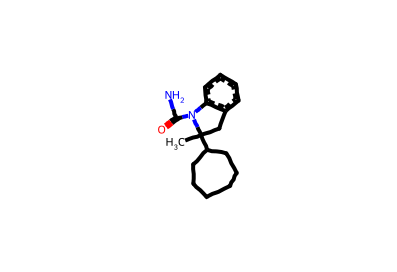 CC1(C2CCCCCC2)Cc2ccccc2N1C(N)=O